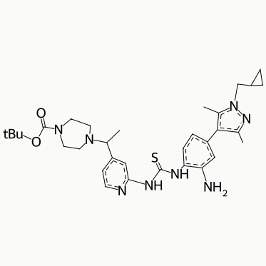 Cc1nn(CC2CC2)c(C)c1-c1ccc(NC(=S)Nc2cc(C(C)N3CCN(C(=O)OC(C)(C)C)CC3)ccn2)c(N)c1